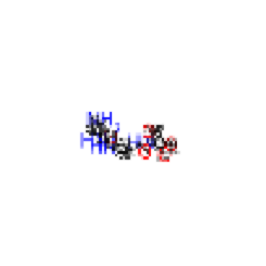 COc1cc(NC(=O)CCc2ccc(NC(=O)Nc3ccc(N)cc3)cc2)c(C(C)=O)cc1OC